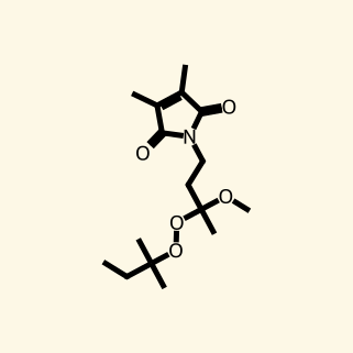 CCC(C)(C)OOC(C)(CCN1C(=O)C(C)=C(C)C1=O)OC